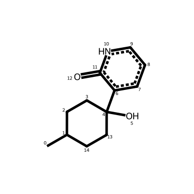 CC1CCC(O)(c2ccc[nH]c2=O)CC1